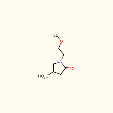 CCOCCN1CC(C(=O)O)CC1=O